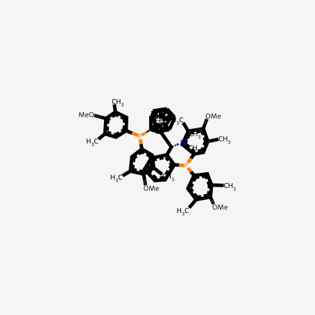 COc1c(C)cc(P(c2cc(C)c(OC)c(C)c2)c2ccccc2[C@@H](N(C)C)[C]23[CH]4[CH]5[CH]6[C@]2(P(c2cc(C)c(OC)c(C)c2)c2cc(C)c(OC)c(C)c2)[Fe]54632789[CH]3[CH]2[CH]7[CH]8[CH]39)cc1C